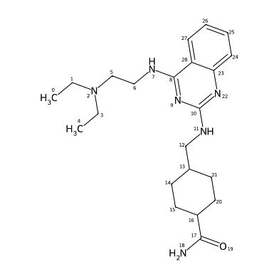 CCN(CC)CCNc1nc(NCC2CCC(C(N)=O)CC2)nc2ccccc12